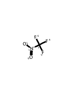 O=[N+]([O-])C(F)(F)F